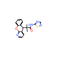 CC(C)(C(=O)Nc1ncns1)C1c2ccccc2Oc2ncccc21